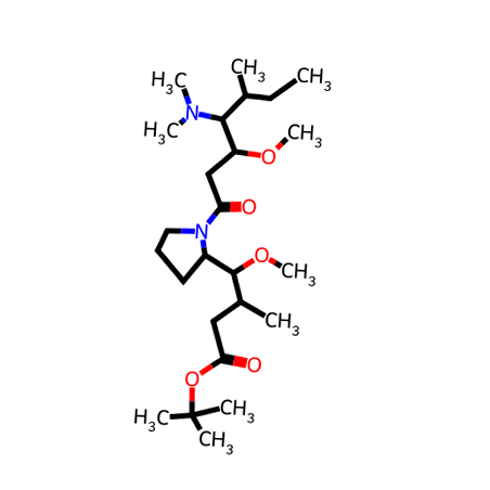 CCC(C)C(C(CC(=O)N1CCCC1C(OC)C(C)CC(=O)OC(C)(C)C)OC)N(C)C